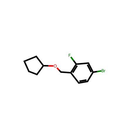 Fc1cc(Br)ccc1COC1CCCC1